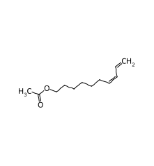 C=C/C=C\CCCCCCOC(C)=O